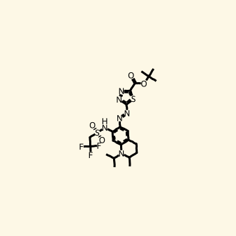 CC(C)N1c2cc(NS(=O)(=O)CC(F)(F)F)c(N=Nc3nnc(C(=O)OC(C)(C)C)s3)cc2CCC1C